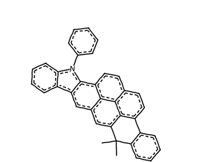 CC1(C)c2ccccc2-c2ccc3ccc4c5c(cc1c2c35)cc1c2ccccc2n(-c2ccccc2)c14